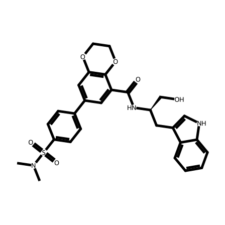 CN(C)S(=O)(=O)c1ccc(-c2cc3c(c(C(=O)N[C@@H](CO)Cc4c[nH]c5ccccc45)c2)OCCO3)cc1